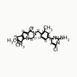 Cc1cc(-c2cc(Cl)nc(N)n2)ccc1CN1CCn2c(cc3c2CC(C)(C)C3)C1=O